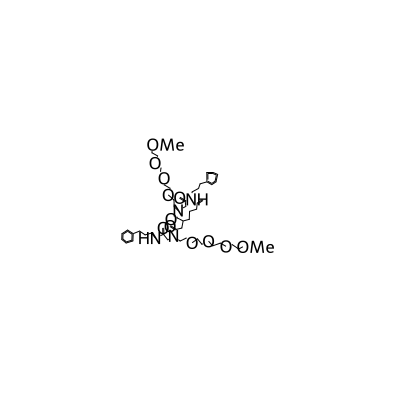 C=CCCCC(CC(=O)N(CCOCCOCCOCCOC)CC(=O)NCCCc1ccccc1)C(=O)N(CCOCCOCCOCCOC)CC(=O)NCCCc1ccccc1